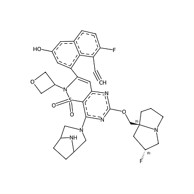 C#Cc1c(F)ccc2cc(O)cc(C3=Cc4nc(OC[C@@]56CCCN5C[C@H](F)C6)nc(N5CC6CCC(C5)N6)c4S(=O)(=O)N3C3COC3)c12